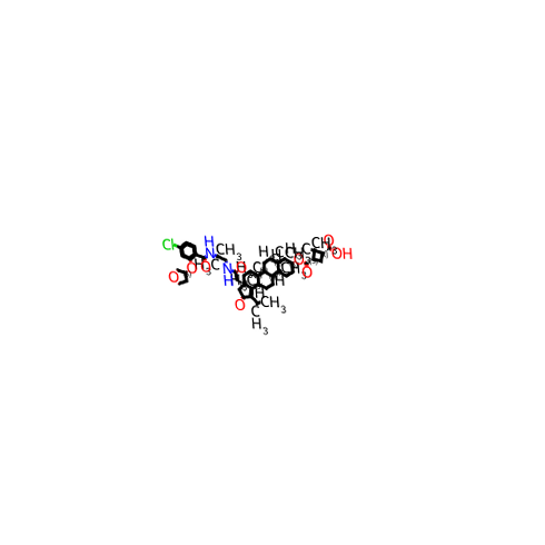 CC(C)C1=C2[C@H]3CC[C@@H]4[C@@]5(C)CC[C@H](OC(=O)[C@H]6C[C@@H](C(=O)O)C6(C)C)C(C)(C)[C@@H]5CC[C@@]4(C)[C@]3(C)CC[C@@]2(CC(=O)NCC(C)(C)NC(=O)c2ccc(Cl)cc2O[C@H]2CCOC2)CC1=O